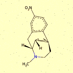 CN1CC[C@]23CCCC[C@H]2[C@H]1Cc1cc([N+](=O)[O-])[c]cc13